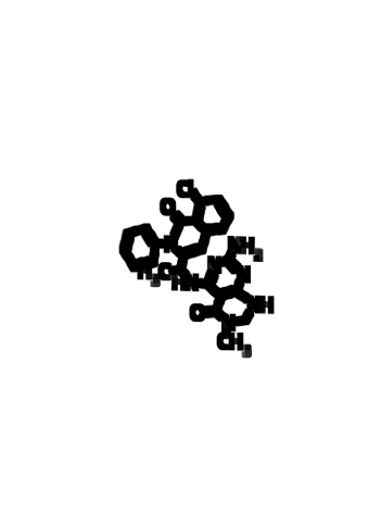 CC(Nc1nc(N)nc2c1C(=O)N(C)CN2)c1cc2cccc(Cl)c2c(=O)n1-c1ccccc1